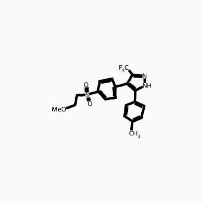 COCCS(=O)(=O)c1ccc(-c2c(C(F)(F)F)n[nH]c2-c2ccc(C)cc2)cc1